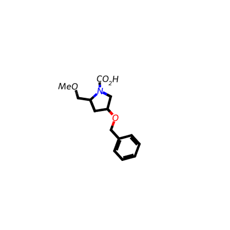 COCC1CC(OCc2ccccc2)CN1C(=O)O